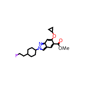 COC(=O)c1cc2cn(C3CCC(CCI)CC3)nc2cc1OC1CC1